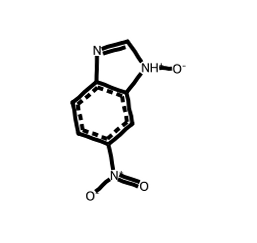 O=[N+]([O-])c1ccc2c(c1)[NH+]([O-])C=N2